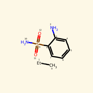 CCC.Nc1ccccc1S(N)(=O)=O